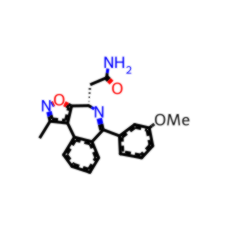 COc1cccc(C2=N[C@@H](CC(N)=O)c3onc(C)c3-c3ccccc32)c1